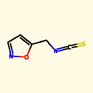 S=C=NCc1ccno1